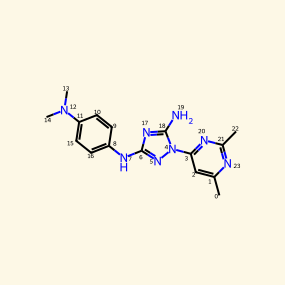 Cc1cc(-n2nc(Nc3ccc(N(C)C)cc3)nc2N)nc(C)n1